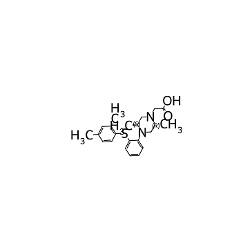 Cc1ccc(Sc2ccccc2N2C[C@@H](C)N(CC(=O)O)C[C@@H]2C)c(C)c1